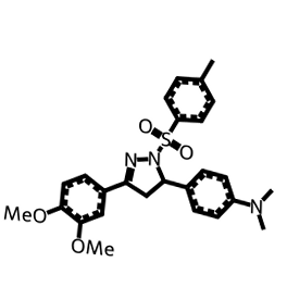 COc1ccc(C2=NN(S(=O)(=O)c3ccc(C)cc3)C(c3ccc(N(C)C)cc3)C2)cc1OC